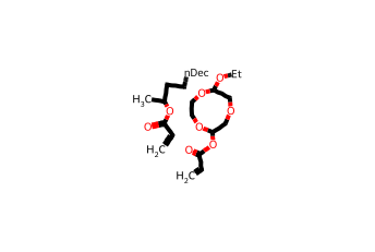 C=CC(=O)OC(C)CCCCCCCCCCCC.C=CC(=O)OC1COCC(OCC)OCCO1